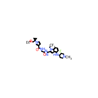 CCOCC1(n2ccc(C(=O)NCc3nc(-c4cc5c(N[C@@H]6CCN(C)C[C@@H]6F)cccc5n4CC(F)(F)F)no3)c2)CC1